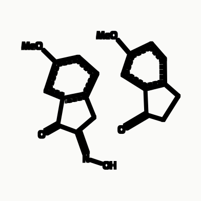 COc1ccc2c(c1)C(=O)C(=NO)C2.COc1ccc2c(c1)C(=O)CC2